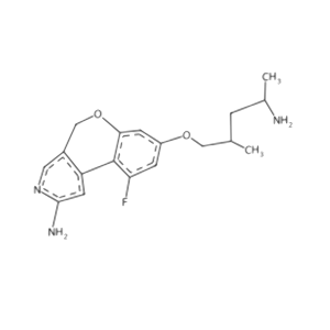 CC(N)CC(C)COc1cc(F)c2c(c1)OCc1cnc(N)cc1-2